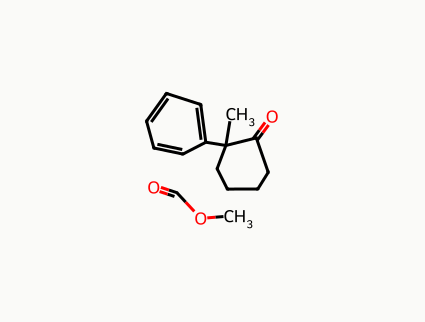 CC1(c2ccccc2)CCCCC1=O.COC=O